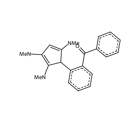 CNC1=CC(NC)=C(NC)C1c1ccccc1C(=O)c1ccccc1